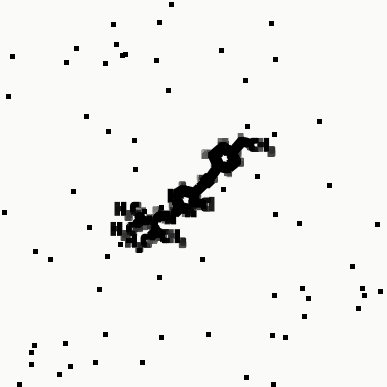 CCc1ccc(C#Cc2cnc(N=CN(C(C)C)C(C)C)nc2Cl)cc1